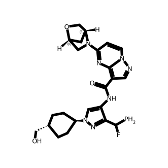 O=C(Nc1cn([C@H]2CC[C@H](CO)CC2)nc1C(F)P)c1cnn2ccc(N3C[C@H]4C[C@@H]3CO4)nc12